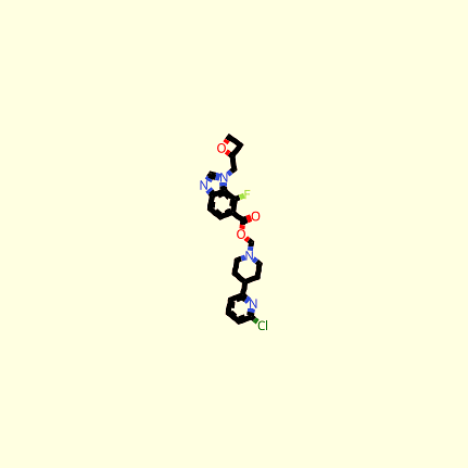 O=C(OCN1CCC(c2cccc(Cl)n2)CC1)c1ccc2ncn(CC3CCO3)c2c1F